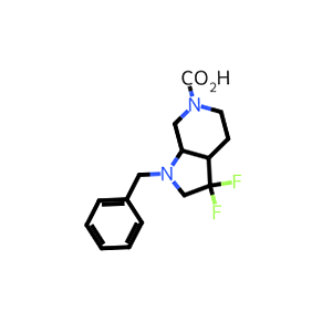 O=C(O)N1CCC2C(C1)N(Cc1ccccc1)CC2(F)F